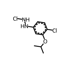 CC(C)Oc1cc(NNCl)ccc1Cl